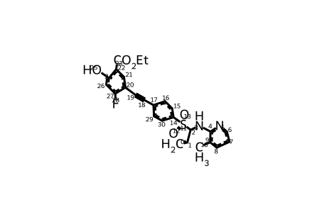 C=CC(Nc1ncccc1C)S(=O)(=O)c1ccc(C#Cc2cc(C(=O)OCC)c(O)cc2F)cc1